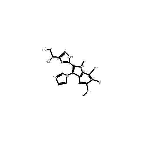 COc1cc2c(-n3ccnc3)c(-c3nc([C@@H](O)CO)n[nH]3)n(C)c2c(F)c1Cl